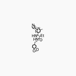 CCC(C(=N)c1cc(C)nc(-n2ccnc2)n1)C(=O)NCCc1ccc2c(c1)OCO2